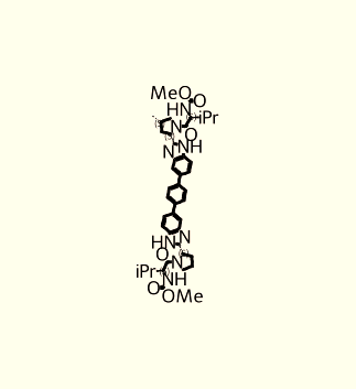 COC(=O)N[C@H](C(=O)N1CCC[C@H]1c1nc2cc(-c3ccc(-c4ccc5[nH]c([C@@H]6C[C@H](C)CN6C(=O)[C@@H](NC(=O)OC)C(C)C)nc5c4)cc3)ccc2[nH]1)C(C)C